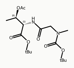 CC(=O)O[C@H](C)[C@H](NC(=O)CN(C)C(=O)OC(C)(C)C)C(=O)OC(C)(C)C